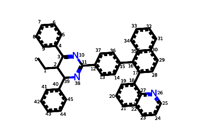 CCC1C(c2ccccc2)=NC(c2ccc(-c3c(-c4cccc5cccnc45)ccc4ccccc34)cc2)=NC1c1ccccc1